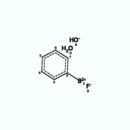 O.[B+2]c1ccccc1.[F-].[OH-]